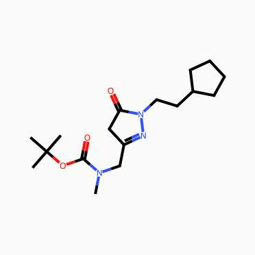 CN(CC1=NN(CCC2CCCC2)C(=O)C1)C(=O)OC(C)(C)C